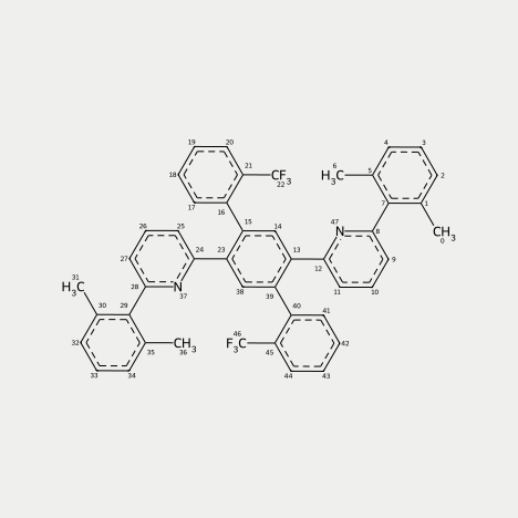 Cc1cccc(C)c1-c1cccc(-c2cc(-c3ccccc3C(F)(F)F)c(-c3cccc(-c4c(C)cccc4C)n3)cc2-c2ccccc2C(F)(F)F)n1